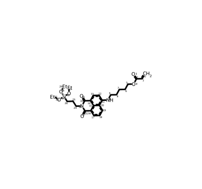 C=CC(=O)OCCCCCNc1ccc2c3c(cccc13)C(=O)N(CCC[Si](OCC)(OCC)OCC)C2=O